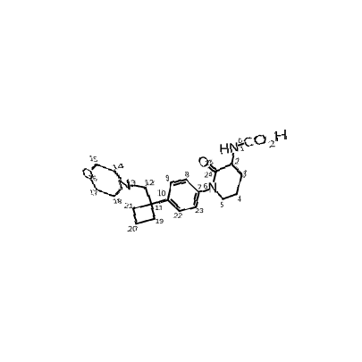 O=C(O)NC1CCCN(c2ccc(C3(CN4CCOCC4)CCC3)cc2)C1=O